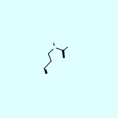 C=CCCN(CCCCC)C(=C)C